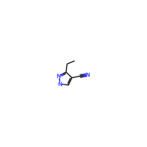 CCC1=N[N]C=C1C#N